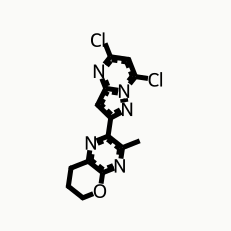 Cc1nc2c(nc1-c1cc3nc(Cl)cc(Cl)n3n1)CCCO2